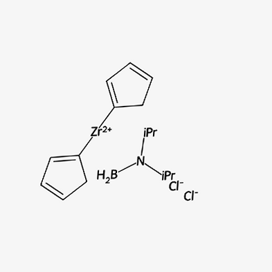 BN(C(C)C)C(C)C.C1=CC[C]([Zr+2][C]2=CC=CC2)=C1.[Cl-].[Cl-]